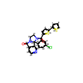 O=C(c1ccc(-c2cccs2)s1)N1CCN2C(=O)c3ccncc3C12c1ccc(Cl)cc1